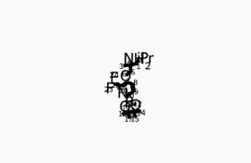 CC(C)CC(C)(N)COc1ccc(B2OC(C)(C)C(C)(C)O2)nc1C(F)F